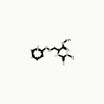 CCCOC(=O)C(CSSc1ccccn1)SC(=S)SCC